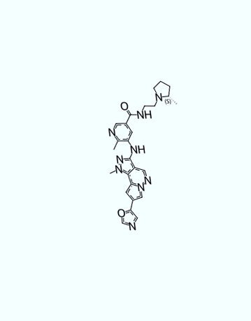 Cc1ncc(C(=O)NCCN2CCC[C@@H]2C)cc1Nc1nn(C)c2c1cnn1cc(-c3cnco3)cc21